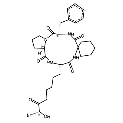 CC[C@@H](O)C(=O)CCCCC[C@@H]1NC(=O)[C@H]2CCCN2C(=O)[C@H](Cc2ccccc2)NC(=O)C2(CCCCC2)NC1=O